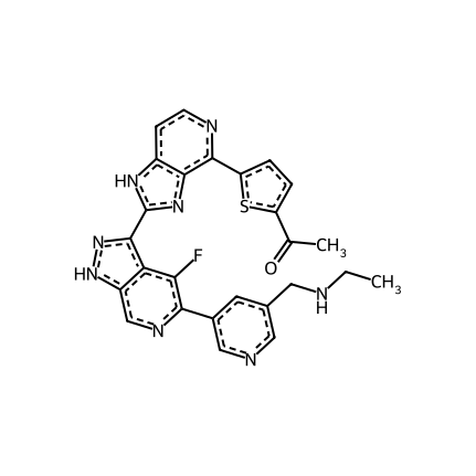 CCNCc1cncc(-c2ncc3[nH]nc(-c4nc5c(-c6ccc(C(C)=O)s6)nccc5[nH]4)c3c2F)c1